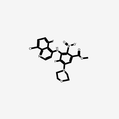 COC(=O)c1cc(N2CCOCC2)c(F)c(Nc2ccnc3c(Cl)ccc(F)c23)c1[N+](=O)[O-]